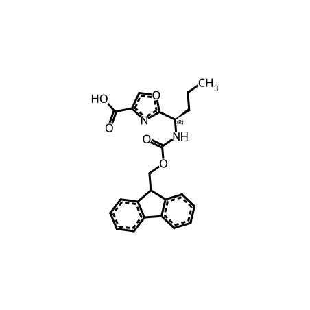 CCC[C@@H](NC(=O)OCC1c2ccccc2-c2ccccc21)c1nc(C(=O)O)co1